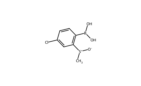 C[S+]([O-])c1cc(Cl)ccc1B(O)O